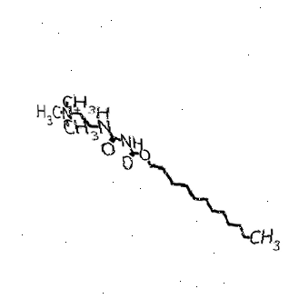 CCCCCCCCCCCCOC(=O)NC(=O)NCC[N+](C)(C)C